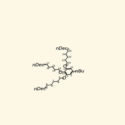 [CH2]CCCc1cc(OCCCCCCCCCCCCCCC)c(OCCCCCCCCCCCCCCC)c(OCCCCCCCCCCCCCCC)c1